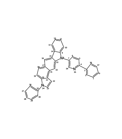 c1ccc(-c2ccc(-n3c4ccccc4c4cc5ccc6c(ccn6-c6ccccc6)c5cc43)cn2)cc1